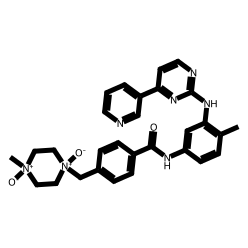 Cc1ccc(NC(=O)c2ccc(C[N+]3([O-])CC[N+](C)([O-])CC3)cc2)cc1Nc1nccc(-c2cccnc2)n1